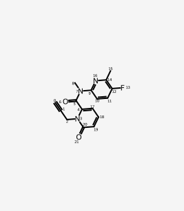 C#CCn1c(C(=O)N(C)c2ccc(F)c(C)n2)cccc1=O